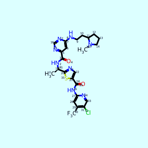 C[C@@H](NC(=O)c1cc(NCCC2CCCN2C)ncn1)c1ncc(C(=O)Nc2cc(C(F)(F)F)c(Cl)cn2)s1